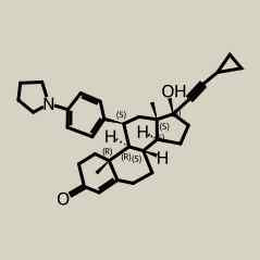 C[C@]12CCC(=O)C=C1CC[C@@H]1[C@@H]2[C@@H](c2ccc(N3CCCC3)cc2)C[C@@]2(C)[C@H]1CC[C@@]2(O)C#CC1CC1